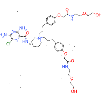 Nc1nc(N)c(C(=O)N[C@H]2CCC[N+](CCCc3ccc(OCC(=O)NCCOCCO)cc3)(CCCc3ccc(OCC(=O)NCCOCCO)cc3)C2)nc1Cl